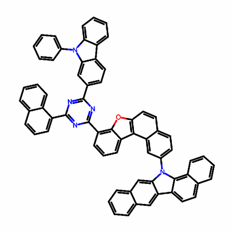 c1ccc(-n2c3ccccc3c3ccc(-c4nc(-c5cccc6ccccc56)nc(-c5cccc6c5oc5ccc7ccc(-n8c9cc%10ccccc%10cc9c9ccc%10ccccc%10c98)cc7c56)n4)cc32)cc1